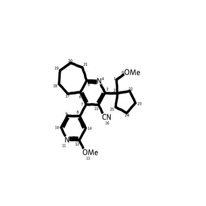 COCC1(c2nc3c(c(-c4ccnc(OC)c4)c2C#N)CCCCC3)CCCC1